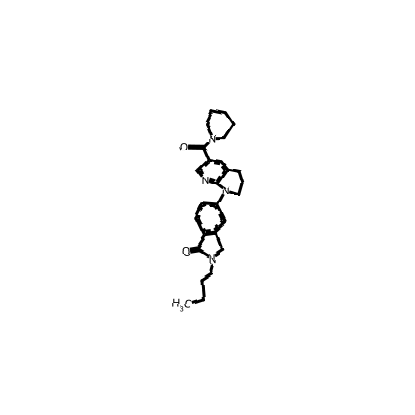 CCCCN1Cc2cc(N3CCCc4cc(C(=O)N5CCCCC5)cnc43)ccc2C1=O